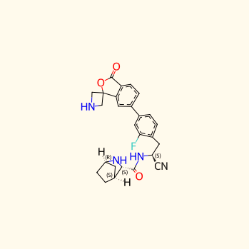 N#C[C@H](Cc1ccc(-c2ccc3c(c2)C2(CNC2)OC3=O)cc1F)NC(=O)[C@H]1N[C@@H]2CC[C@H]1C2